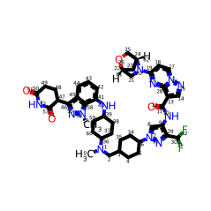 CN(CC1CCC(n2cc(NC(=O)c3cnn4ccc(N5C[C@H]6C[C@@H]5CO6)nc34)c(C(F)F)n2)CC1)C1CCC(Nc2cccc3c(C4CCC(=O)NC4=O)nn(C)c23)CC1